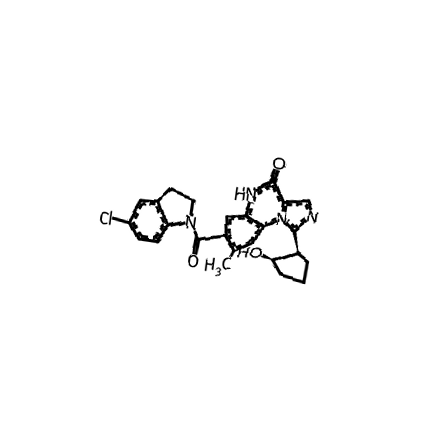 Cc1cc2c(cc1C(=O)N1CCc3cc(Cl)ccc31)[nH]c(=O)c1cnc([C@H]3CCC[C@H]3O)n12